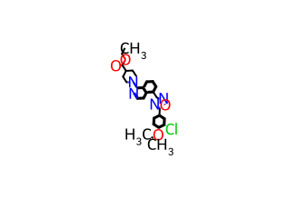 CCOC(=O)C1CCN(c2nccc3c(-c4noc(-c5ccc(OC(C)C)c(Cl)c5)n4)cccc23)CC1